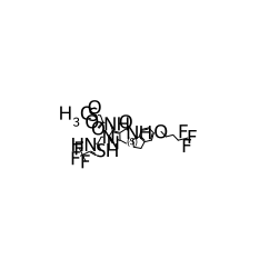 CS(=O)(=O)CC(=O)Nc1c2c(nn1CC1=[SH]C=C(C(F)(F)F)N1)C[C@]1(CCc3cc(OCCCC(F)(F)F)ccc31)NC2=O